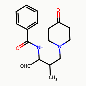 CC(CN1CCC(=O)CC1)C(C=O)NC(=O)c1ccccc1